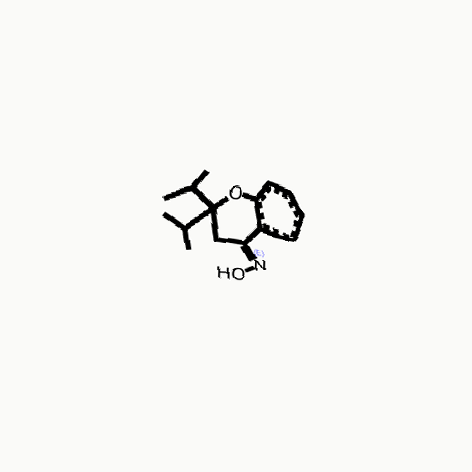 CC(C)C1(C(C)C)C/C(=N\O)c2ccccc2O1